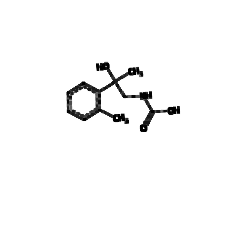 Cc1ccccc1C(C)(O)CNC(=O)O